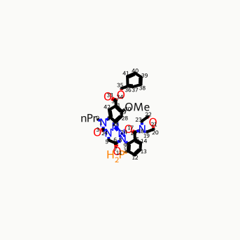 CCCN(C(=O)N1CC(=O)N(c2c(P)cccc2C(=O)N2CCOCC2)N=N1)c1ccc(OC)c(C(=O)OCc2ccccc2)c1